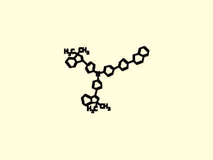 CC1(C)C=C(c2ccc(N(c3ccc(C4=CC(C)(C)c5ccccc54)cc3)c3ccc(-c4ccc(-c5ccc6ccccc6c5)cc4)cc3)cc2)c2ccccc21